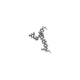 Cc1ccc(S(=O)(=O)n2cc(-c3cnn(Cc4cc(F)cc(F)c4)c3)c3cc(-c4ccc(N5CCN(C[C@H](C)O)CC5)nc4)cnc32)cc1